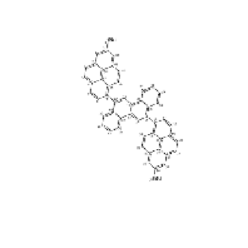 CC(C)(C)c1cc2ccc3ccc(-c4cc5c(cc(-c6ccc7ccc8cc(C(C)(C)C)cc9ccc6c7c89)c6cccnc65)c5ncccc45)c4ccc(c1)c2c34